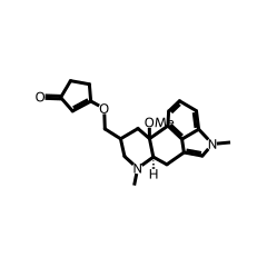 COC12CC(COC3=CC(=O)CC3)CN(C)[C@@H]1Cc1cn(C)c3cccc2c13